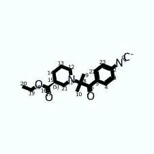 [C-]#[N+]c1ccc(C(=O)C(C)(C)N2CCC[C@H](C(=O)OCC)C2)cc1